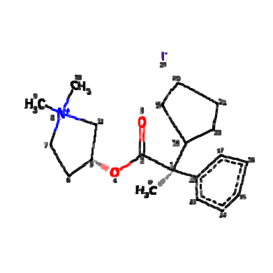 C[C@@](C(=O)O[C@@H]1CC[N+](C)(C)C1)(c1ccccc1)C1CCCC1.[I-]